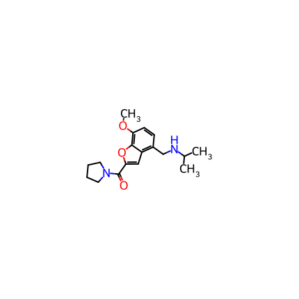 COc1ccc(CNC(C)C)c2cc(C(=O)N3CCCC3)oc12